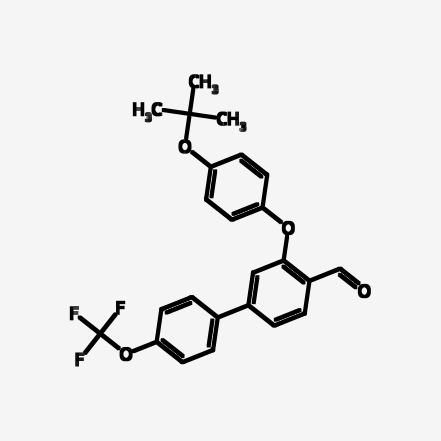 CC(C)(C)Oc1ccc(Oc2cc(-c3ccc(OC(F)(F)F)cc3)ccc2C=O)cc1